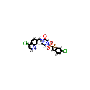 O=C1CN(S(=O)(=O)c2cc3ccc(Cl)cc3s2)CCN1Cc1ccc2c(Cl)ccnc2c1